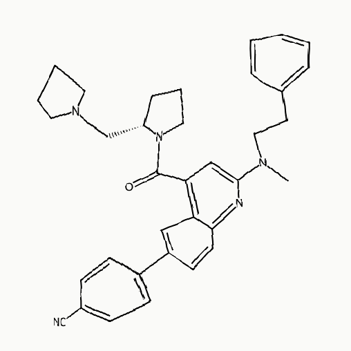 CN(CCc1ccccc1)c1cc(C(=O)N2CCC[C@H]2CN2CCCC2)c2cc(-c3ccc(C#N)cc3)ccc2n1